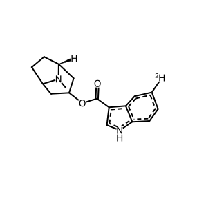 [2H]c1ccc2[nH]cc(C(=O)OC3CC4CC[C@H](C3)N4C)c2c1